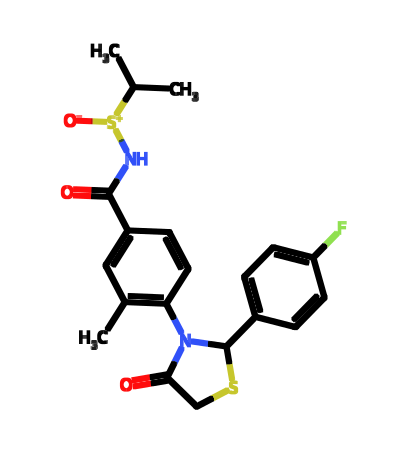 Cc1cc(C(=O)N[S+]([O-])C(C)C)ccc1N1C(=O)CSC1c1ccc(F)cc1